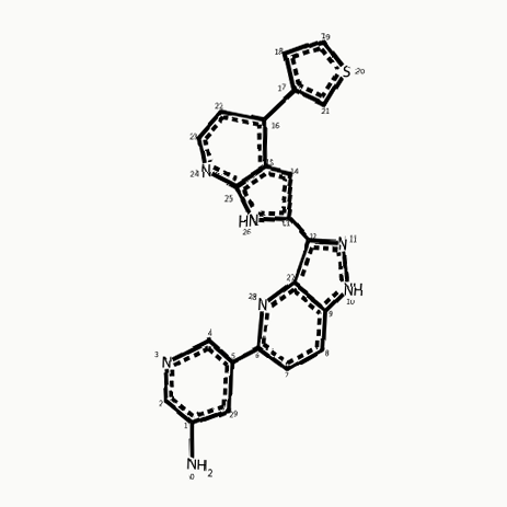 Nc1cncc(-c2ccc3[nH]nc(-c4cc5c(-c6ccsc6)ccnc5[nH]4)c3n2)c1